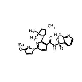 CC[C@@H](C)Oc1ccn(-c2ccc(C(=O)NS(=O)(=O)c3cccnc3N)c(N3C[C@@H](C)CC3(C)C)n2)n1